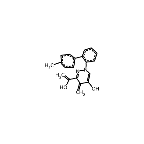 C=C(O)C1=NN(c2ccccc2-c2ccc(C)cc2)C=C(O)C1=C